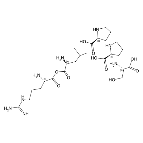 CC(C)C[C@H](N)C(=O)OC(=O)[C@@H](N)CCCNC(=N)N.N[C@@H](CO)C(=O)O.O=C(O)[C@@H]1CCCN1.O=C(O)[C@@H]1CCCN1